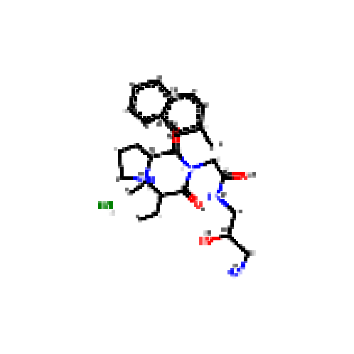 CCC(CC)C(=O)N(C(=O)[C@@H]1CCCN1)[C@H](Cc1ccc2ccccc2c1)C(=O)NCC(O)CN.Cl